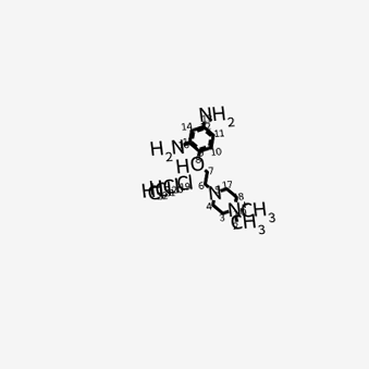 C[N+]1(C)CCN(CCOc2ccc(N)cc2N)CC1.Cl.Cl.Cl.[Cl-]